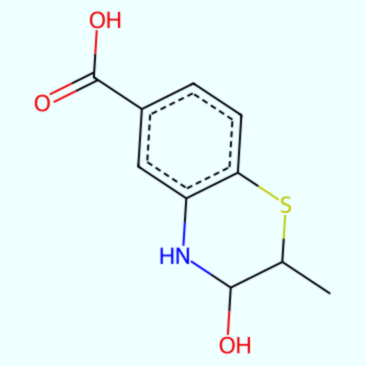 CC1Sc2ccc(C(=O)O)cc2NC1O